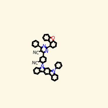 N#Cc1cc(-c2nc(-c3cccc4oc5ccccc5c34)nc(-c3ccccc3)c2C#N)ccc1-n1c2ccccc2c2cc3c4ccccc4n(-c4ccccc4)c3cc21